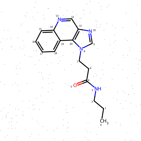 CCCNC(=O)CCn1cnc2cnc3ccccc3c21